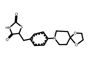 O=C1NC(=O)C(Cc2ccc(N3CCC4(CC3)OCCO4)cc2)S1